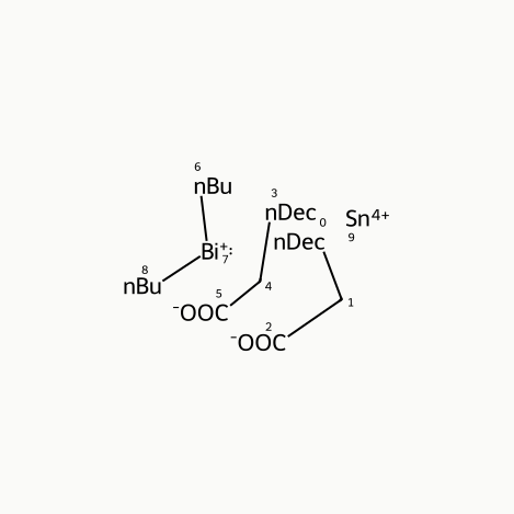 CCCCCCCCCCCC(=O)[O-].CCCCCCCCCCCC(=O)[O-].CCC[CH2][Bi+][CH2]CCC.[Sn+4]